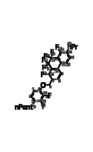 CCCCCc1ccc(OCC2C=CC3=C(C2F)C(F)(F)C(F)(F)c2c3ccc(CCC)c2F)c(F)c1F